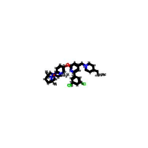 CC(=O)NCC1CCN(Cc2cc(Oc3ccc(N4C[C@H]5CC[C@@H](C4)N5CCC(=O)O)nc3)nc(-c3cc(Cl)cc(Cl)c3)c2)CC1